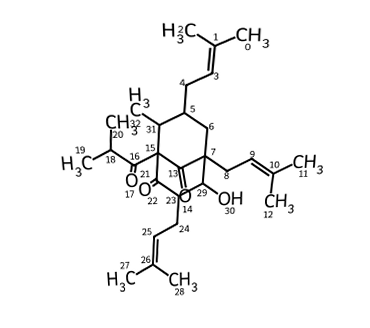 CC(C)=CCC1CC2(CC=C(C)C)C(=O)C(C(=O)C(C)C)(C(=O)C(CC=C(C)C)C2O)C1C